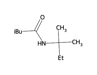 CCC(C)C(=O)NC(C)(C)CC